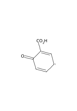 O=C(O)C1=C[C]C=CC1=O